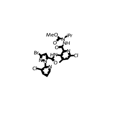 COC(=O)N(NC(=O)c1nc(Cl)cc(C)c1NC(=O)c1cc(Br)nn1-c1ncccc1Cl)C(C)C